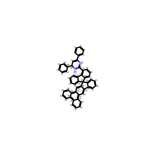 C1=C(c2ccccc2)N=C(c2cccc3c2-c2ccccc2C32c3ccccc3-c3cc4c5ccccc5c5ccccc5c4cc32)NC1c1ccccc1